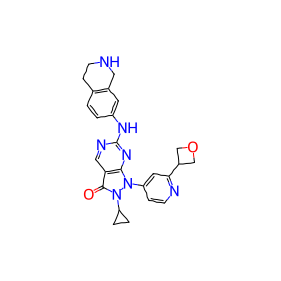 O=c1c2cnc(Nc3ccc4c(c3)CNCC4)nc2n(-c2ccnc(C3COC3)c2)n1C1CC1